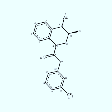 CC(=O)N1c2ccccc2N(C(=O)Cc2cccc(C(F)(F)F)c2)C[C@@H]1C